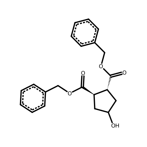 O=C(OCc1ccccc1)[C@@H]1CC(O)C[C@H]1C(=O)OCc1ccccc1